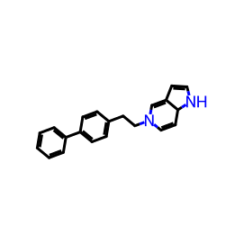 C1=CC2=CN(CCc3ccc(-c4ccccc4)cc3)C=CC2N1